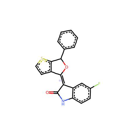 O=C1Nc2ccc(F)cc2/C1=C1\OC(c2ccccc2)c2sccc21